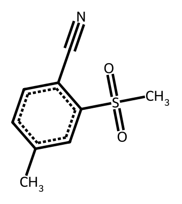 Cc1ccc(C#N)c(S(C)(=O)=O)c1